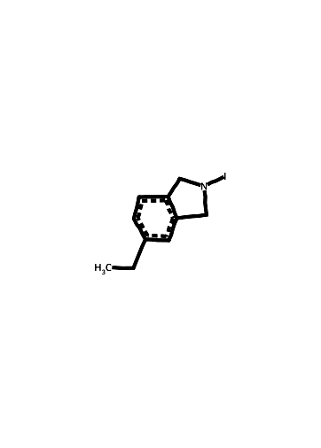 CCc1ccc2c(c1)CN(I)C2